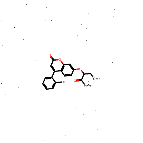 CNC(=O)C(COC)Oc1ccc2c(-c3ccccc3C)cc(=O)oc2c1